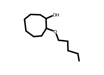 CCCCCOC1CCCCCCC1O